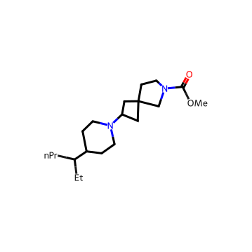 CCCC(CC)C1CCN(C2CC3(CCN(C(=O)OC)C3)C2)CC1